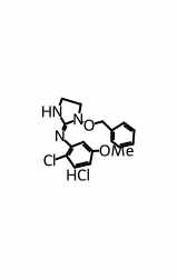 COc1ccc(Cl)c(N=C2NCCN2OCc2ccccc2)c1.Cl